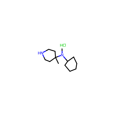 CN(C1CCCCC1)C1(C)CCNCC1.Cl